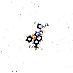 N#CCN1C[C@@H](F)C[C@H]1C(=O)N1CC[C@@]2(S(=O)(=O)c3ccc(F)cc3)c3ccc(C(F)(C(F)(F)F)C(F)(F)F)cc3CC[C@@H]12